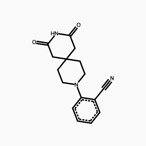 N#Cc1ccccc1N1CCC2(CC1)CC(=O)NC(=O)C2